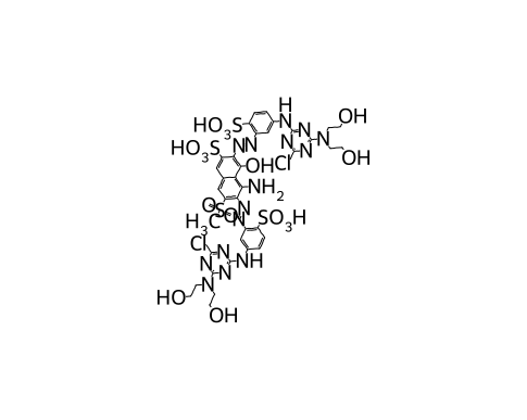 CS(=O)(=O)c1cc2cc(S(=O)(=O)O)c(/N=N/c3cc(Nc4nc(Cl)nc(N(CCO)CCO)n4)ccc3S(=O)(=O)O)c(O)c2c(N)c1/N=N/c1cc(Nc2nc(Cl)nc(N(CCO)CCO)n2)ccc1S(=O)(=O)O